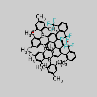 Cc1cc(C)c(B(c2c(C)cc(C)cc2C)c2cc(-c3c(C)cccc3C(F)(F)F)c3ccc4c(-c5c(C(F)(F)F)cccc5C(F)(F)F)cc(B(c5c(C)cc(C)cc5C)c5c(C)cc(C)cc5C)c5ccc2c3c54)c(C)c1